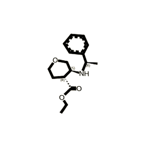 CCOC(=O)[C@@H]1CCOC[C@H]1N[C@H](C)c1ccccc1